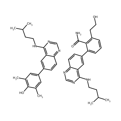 CC(C)CCNc1ncnc2ccc(-c3cccc(CCO)c3C(N)=O)cc12.Cc1cc(-c2ccc3ncnc(NCCC(C)C)c3c2)cc(C)c1O